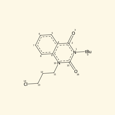 CC(C)(C)n1c(=O)c2ccccc2n(CCCCl)c1=O